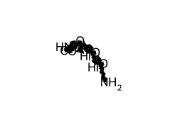 NCCCCCNC(=O)c1ccc(NC(=O)c2ccc(CN(C(=O)c3ccc4c(c3)OCC(=O)N4)C3CC3)cc2)cc1